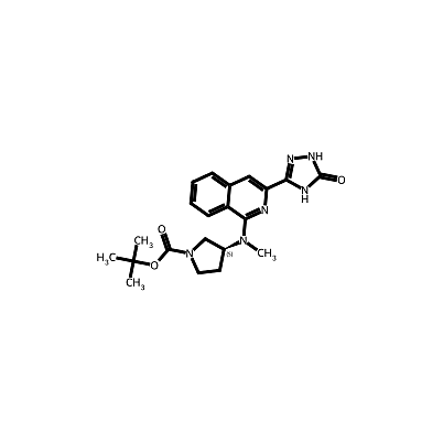 CN(c1nc(-c2n[nH]c(=O)[nH]2)cc2ccccc12)[C@H]1CCN(C(=O)OC(C)(C)C)C1